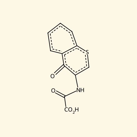 O=C(O)C(=O)Nc1csc2ccccc2c1=O